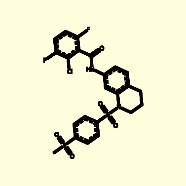 CS(=O)(=O)c1ccc(S(=O)(=O)N2CCCc3ccc(NC(=O)c4c(F)ccc(F)c4Cl)cc32)cc1